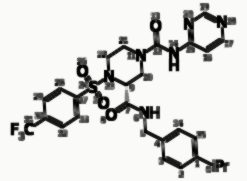 CC(C)c1ccc(CNC(=O)[C@H]2CN(C(=O)Nc3ccncn3)CCN2S(=O)(=O)c2ccc(C(F)(F)F)cc2)cc1